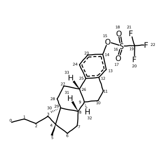 CCCC[C@@]1(C)CC[C@H]2[C@@H]3CCc4cc(OS(=O)(=O)C(F)(F)F)ccc4[C@H]3CC[C@@]21C